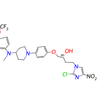 CN(c1ccc(OC(F)(F)F)cc1)C1CCN(c2ccc(OC[C@H](O)CCn3cc([N+](=O)[O-])nc3Cl)cc2)CC1